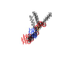 CCCCCCCCCC(=O)NC(CSCC(COC(=O)CCCCCCCCC)OC(=O)CCCCCCCCC)C(=O)Nc1cn([C@H]2OC(CO)[C@@H](O)[C@H]2O)nn1